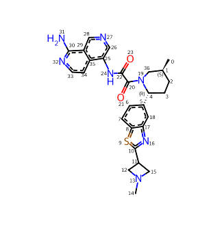 C[C@H]1CC[C@H](c2ccc3sc(C4CN(C)C4)nc3c2)N(C(=O)C(=O)Nc2cncc3c(N)nccc23)C1